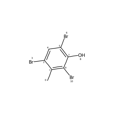 Cc1c(Br)cc(Br)c(O)c1Br